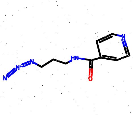 [N-]=[N+]=NCCCNC(=O)c1ccncc1